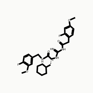 COc1ccc(CC(=O)NC(=N)N[C@H](CC2CCCCC2)C(=O)NCc2ccc(F)c(OC)c2)c(F)c1